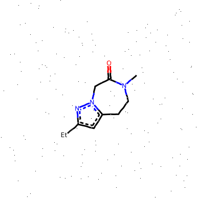 CCc1cc2n(n1)CC(=O)N(C)CC2